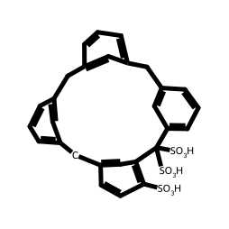 O=S(=O)(O)c1ccc2cc1C(S(=O)(=O)O)(S(=O)(=O)O)c1cccc(c1)Cc1cccc(c1)Cc1cccc(c1)C2